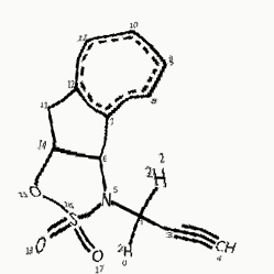 [2H]C([2H])(C#C)N1C2c3ccccc3CC2OS1(=O)=O